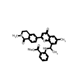 COC(=O)c1ccccc1NC(C)c1cc(C)cc2c(=O)cc(-c3ccc4c(c3)CCN(C)C4=O)oc12